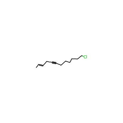 CC=CCC#CCCCCCCCl